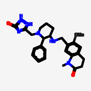 COc1cc2c(cc1CNC1CCCN(Cc3nc(=O)[nH][nH]3)C1c1ccccc1)N(C)C(=O)CC2